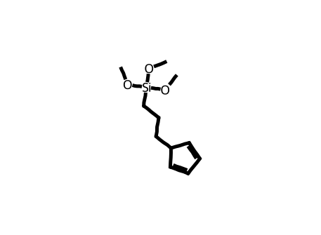 CO[Si](CCCC1C=CC=C1)(OC)OC